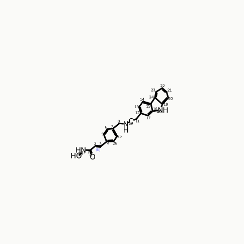 O=C(/C=C/c1ccc(CNCCc2ccc3c(c2)[nH]c2ccccc23)cc1)NO